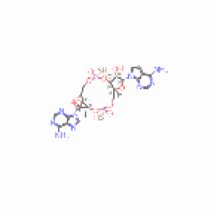 Nc1ncnc2c1ccn2[C@@H]1O[C@@H]2COP(=O)(S)O[C@@H]3[C@H](O)C(COP(=O)(S)O[C@H]2[C@H]1O)O[C@H]3n1cnc2c(N)ncnc21